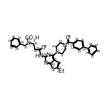 CCc1cc2c(N3CCN(C(=O)c4ccc(-c5ccccc5)cc4)CC3)nc(NC(=O)CCN(Cc3ccccc3)C(=O)O)nc2s1